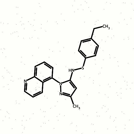 CCc1ccc(SNc2cc(C)nn2-c2cccc3ncccc23)cc1